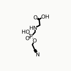 N#CCOP(=O)(O)CNCC(=O)O